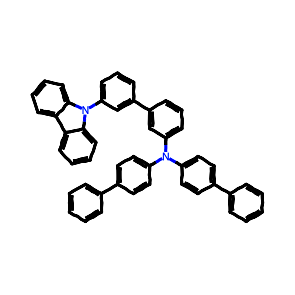 c1ccc(-c2ccc(N(c3ccc(-c4ccccc4)cc3)c3cccc(-c4cccc(-n5c6ccccc6c6ccccc65)c4)c3)cc2)cc1